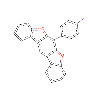 Ic1ccc(-c2c3oc4ccccc4c3cc3c2oc2ccccc23)cc1